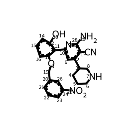 N#Cc1c(C2CCCNC2)cc(-c2c(O)cccc2OCc2cccc([N+](=O)[O-])c2)nc1N